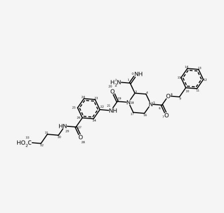 N=C(N)C1CN(C(=O)OCc2ccccc2)CCN1C(=O)Nc1cccc(C(=O)NCCCC(=O)O)c1